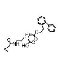 O=C(N[C@@H](CCCNC(=O)C1CC1)C(=O)O)OCC1c2ccccc2-c2ccccc21